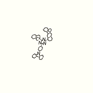 c1ccc2cc(-c3nc(-c4ccc(-n5c6ccccc6c6ccccc65)cc4)nc(-c4cccc5cc6oc7ccccc7c6cc45)n3)ccc2c1